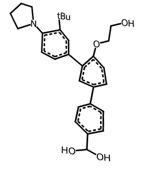 CC(C)(C)c1cc(-c2cc(-c3ccc(C(O)O)cc3)ccc2OCCO)ccc1N1CCCC1